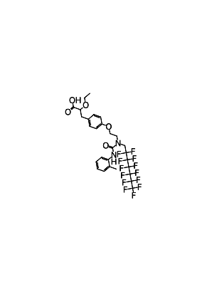 CCOC(Cc1ccc(OCCN(CC(F)(F)C(F)(F)C(F)(F)C(F)(F)C(F)(F)C(F)(F)F)C(=O)Nc2ccccc2C)cc1)C(=O)O